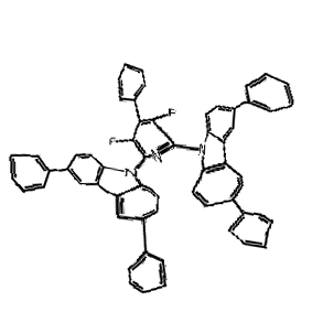 Fc1c(-n2c3ccc(-c4ccccc4)cc3c3cc(-c4ccccc4)ccc32)nc(-n2c3ccc(-c4ccccc4)cc3c3cc(-c4ccccc4)ccc32)c(F)c1-c1ccccc1